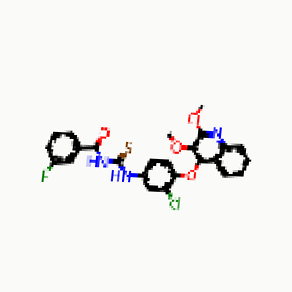 COc1nc2ccccc2c(Oc2ccc(NC(=S)NC(=O)c3cccc(F)c3)cc2Cl)c1OC